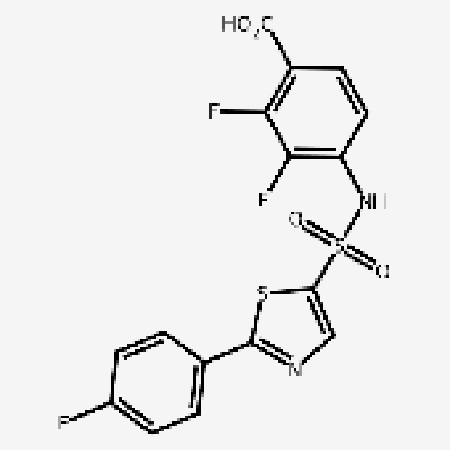 O=C(O)c1ccc(NS(=O)(=O)c2cnc(-c3ccc(F)cc3)s2)c(F)c1F